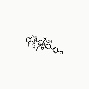 CS(=O)(=O)N(c1ccc(-c2ccc(Cl)cc2)cc1)C(CCn1nnc2cccc(F)c2c1=O)C(=O)O